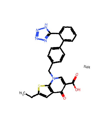 CCc1cc2c(=O)c(C(=O)O)cn(Cc3ccc(-c4ccccc4-c4nnn[nH]4)cc3)c2s1.[NaH]